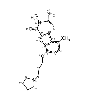 Cc1ccc(OCCCN2CCCC2)c2[nH]c(C(=O)N(C)C(=N)N)cc12